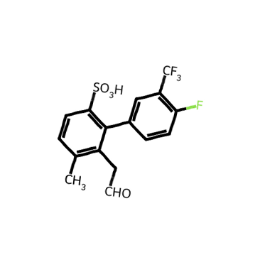 Cc1ccc(S(=O)(=O)O)c(-c2ccc(F)c(C(F)(F)F)c2)c1CC=O